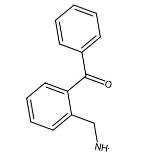 [NH]Cc1ccccc1C(=O)c1ccccc1